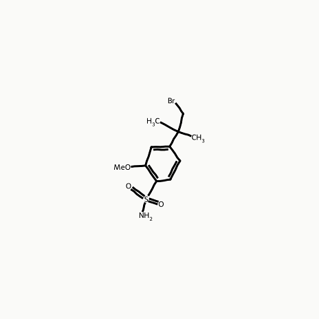 COc1cc(C(C)(C)CBr)ccc1S(N)(=O)=O